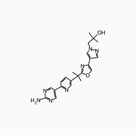 CC(C)(O)Cn1cc(-c2coc(C(C)(C)c3ccc(-c4cnc(N)nc4)nc3)n2)cn1